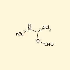 CCCCNC(OC=O)C(Cl)(Cl)Cl